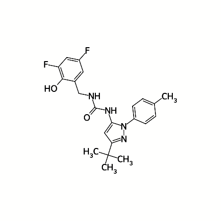 Cc1ccc(-n2nc(C(C)(C)C)cc2NC(=O)NCc2cc(F)cc(F)c2O)cc1